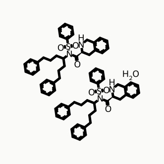 O.O=C([C@@H]1Cc2ccccc2CN1)N(C(CCCc1ccccc1)CCCc1ccccc1)S(=O)(=O)c1ccccc1.O=C([C@@H]1Cc2ccccc2CN1)N(C(CCCc1ccccc1)CCCc1ccccc1)S(=O)(=O)c1ccccc1